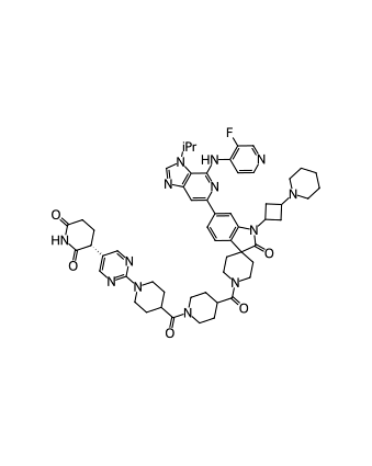 CC(C)n1cnc2cc(-c3ccc4c(c3)N(C3CC(N5CCCCC5)C3)C(=O)C43CCN(C(=O)C4CCN(C(=O)C5CCN(c6ncc([C@H]7CCC(=O)NC7=O)cn6)CC5)CC4)CC3)nc(Nc3ccncc3F)c21